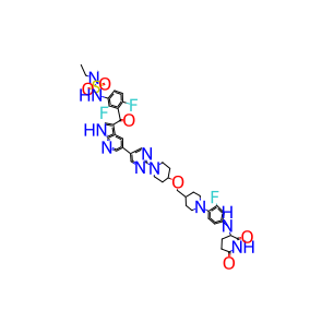 CCN(C)S(=O)(=O)Nc1ccc(F)c(C(=O)c2c[nH]c3ncc(-c4cnc(N5CCC(OCC6CCN(c7ccc(NC8CCC(=O)NC8=O)cc7F)CC6)CC5)nc4)cc23)c1F